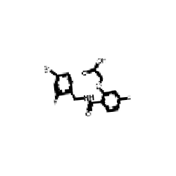 O=C(O)COc1cc(F)ccc1C(=O)NCc1ccc(Br)cc1F